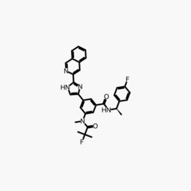 C[C@@H](NC(=O)c1cc(-c2c[nH]c(-c3cc4ccccc4cn3)n2)cc(N(C)C(=O)C(C)(C)F)c1)c1ccc(F)cc1